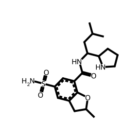 CC(C)CC(NC(=O)c1cc(S(N)(=O)=O)cc2c1OC(C)C2)C1CCCN1